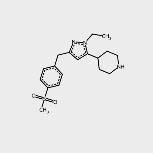 CCn1nc(Cc2ccc(S(C)(=O)=O)cc2)cc1C1CCNCC1